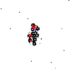 CCc1cc(N(c2ccccc2-c2ccccc2)c2cccc3c2C(C)(C)C2C=CC=CC32)c2cc3c4c(cc(N(c5ccccc5-c5ccccc5)c5cccc6c5C(C)(C)c5ccccc5-6)c5ccc1c2c54)CCC3(C)C